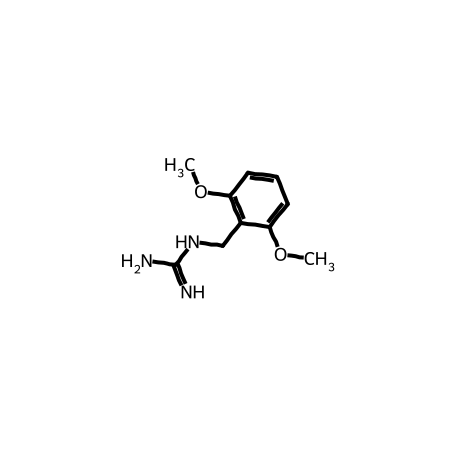 COc1cccc(OC)c1CNC(=N)N